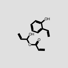 C=CC(=O)OC(O)C=C.C=Cc1ccccc1O